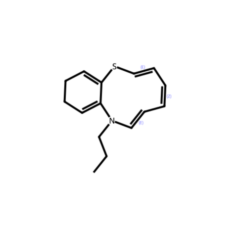 CCCN1/C=C/C=C\C=C\SC2=CCCC=C21